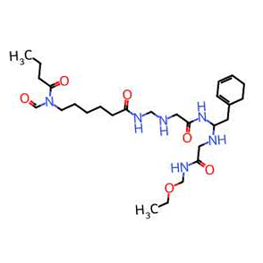 CCCC(=O)N(C=O)CCCCCC(=O)NCNCC(=O)NC(CC1=CC=CCC1)NCC(=O)NCOCC